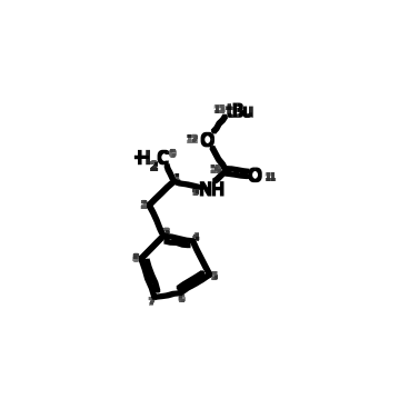 [CH2]C(Cc1ccccc1)NC(=O)OC(C)(C)C